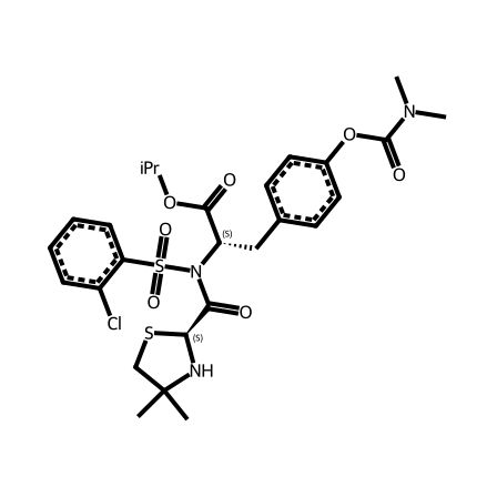 CC(C)OC(=O)[C@H](Cc1ccc(OC(=O)N(C)C)cc1)N(C(=O)[C@H]1NC(C)(C)CS1)S(=O)(=O)c1ccccc1Cl